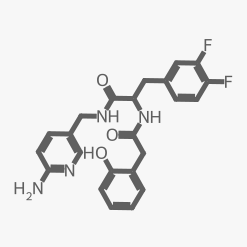 Nc1ccc(CNC(=O)C(Cc2ccc(F)c(F)c2)NC(=O)Cc2ccccc2O)cn1